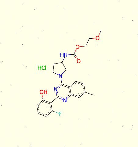 COCCOC(=O)NC1CCN(c2nc(-c3c(O)cccc3F)nc3cc(C)ccc23)C1.Cl